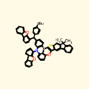 CC(C)(C)c1ccc(C(c2ccc3c(c2)N(c2cccc4c2oc2ccccc24)c2cccc4c2B3c2sc3cc5c(cc3c2O4)-c2ccccc2C5(C)C)c2cccc3c2oc2ccccc23)cc1